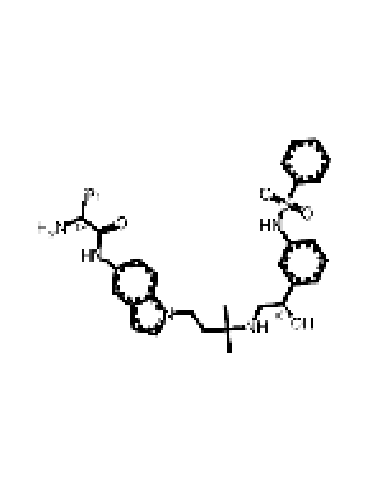 CC(C)[C@H](N)C(=O)Nc1ccc2c(ccn2CCC(C)(C)NC[C@H](O)c2cccc(NS(=O)(=O)c3ccccc3)c2)c1